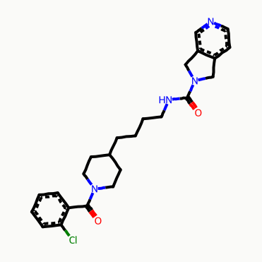 O=C(NCCCCC1CCN(C(=O)c2ccccc2Cl)CC1)N1Cc2ccncc2C1